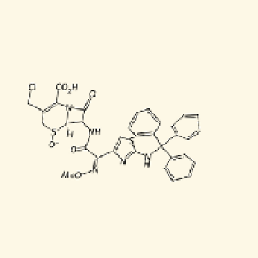 CO/N=C(\C(=O)NC1C(=O)N2C(C(=O)O)=C(CCl)C[S+]([O-])[C@H]12)c1csc(NC(c2ccccc2)(c2ccccc2)c2ccccc2)n1